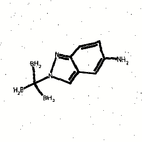 BC(B)(B)n1cc2cc(N)ccc2n1